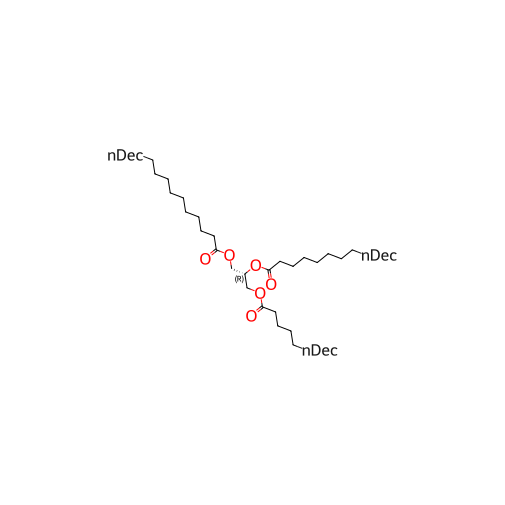 CCCCCCCCCCCCCCCCCCCC(=O)OC[C@@H](COC(=O)CCCCCCCCCCCCCC)OC(=O)CCCCCCCCCCCCCCCCC